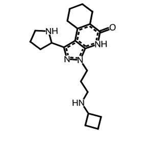 O=c1[nH]c2c(c(C3CCCN3)nn2CCCNC2CCC2)c2c1CCCC2